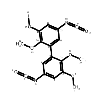 COc1cc(N=C=O)cc(-c2cc(N=C=O)cc(OI)c2OC)c1OC